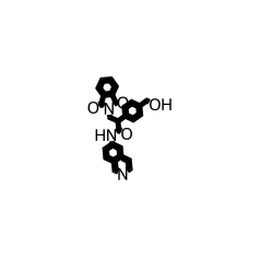 O=C(Nc1ccc2cnccc2c1)C(CN1C(=O)c2ccccc2C1=O)c1ccc(CO)cc1